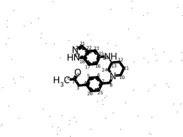 CC(=O)Cc1ccc(CN2CCC[C@H](Nc3ccc4[nH]ncc4c3)C2)cc1